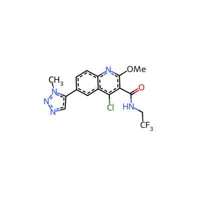 COc1nc2ccc(-c3cnnn3C)cc2c(Cl)c1C(=O)NCC(F)(F)F